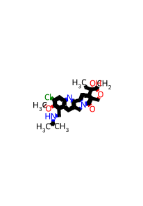 C=C1OCc2c(cc3n(c2=O)Cc2cc4c(CNC(C)C)c(OC)c(Cl)cc4nc2-3)[C@@]1(O)CC